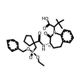 CCOP(=O)(CC1(C(=O)N[C@H]2CCc3ccccc3N(C(C(=O)O)C(C)(C)C)C2=O)CCCC1)OCc1ccccc1